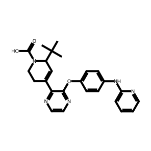 CC(C)(C)C1C=C(c2nccnc2Oc2ccc(Nc3ccccn3)cc2)CCN1C(=O)O